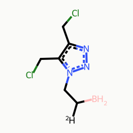 [2H]C(B)Cn1nnc(CCl)c1CCl